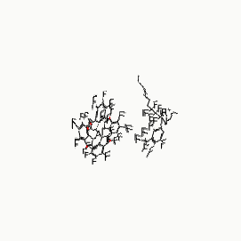 CCCCCCC(F)(F)C(F)(F)C(F)(F)[NH+](CCC)c1cc(F)c(F)c(C(F)(F)F)c1F.FC1=C(F)[CH]([Al-]([CH]2C(F)=C(F)c3c(F)c(F)c(F)c(F)c32)([CH]2C(F)=C(F)c3c(F)c(F)c(F)c(F)c32)[CH]2C(F)=C(F)c3c(F)c(F)c(F)c(F)c32)c2c(F)c(F)c(F)c(F)c21